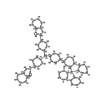 c1ccc(C2(c3ccccc3)c3ccccc3-c3ccc(-c4ccc(N(c5ccc(-c6cc7ccccc7o6)cc5)c5ccc(-c6cc7ccccc7o6)cc5)cc4)cc32)cc1